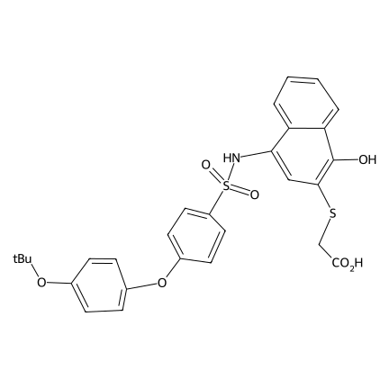 CC(C)(C)Oc1ccc(Oc2ccc(S(=O)(=O)Nc3cc(SCC(=O)O)c(O)c4ccccc34)cc2)cc1